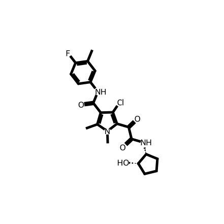 Cc1cc(NC(=O)c2c(Cl)c(C(=O)C(=O)N[C@@H]3CCC[C@@H]3O)n(C)c2C)ccc1F